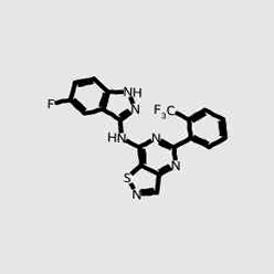 Fc1ccc2[nH]nc(Nc3nc(-c4ccccc4C(F)(F)F)nc4cnsc34)c2c1